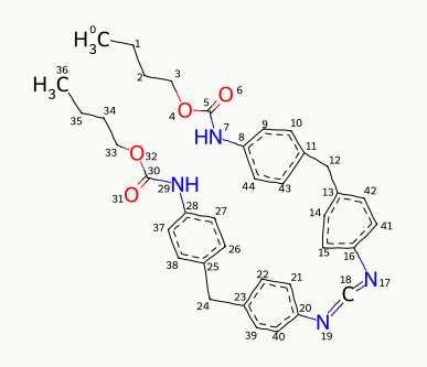 CCCCOC(=O)Nc1ccc(Cc2ccc(N=C=Nc3ccc(Cc4ccc(NC(=O)OCCCC)cc4)cc3)cc2)cc1